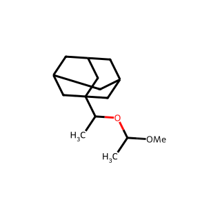 COC(C)OC(C)C12CC3CC(CC(C3)C1)C2